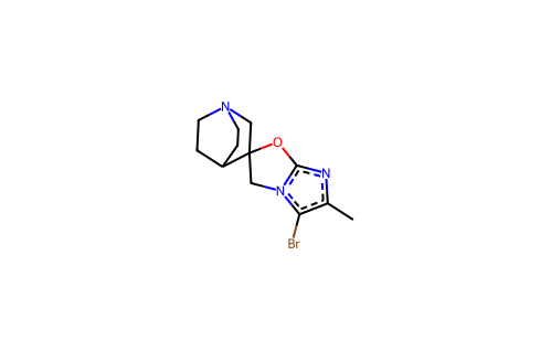 Cc1nc2n(c1Br)CC1(CN3CCC1CC3)O2